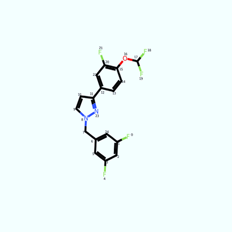 Fc1cc(F)cc(Cn2ccc(-c3ccc(OC(F)F)c(F)c3)n2)c1